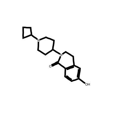 O=C1c2ccc(O)cc2CCN1C1CCN(C2CCC2)CC1